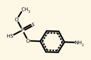 COP(=S)(S)Oc1ccc(N)cc1